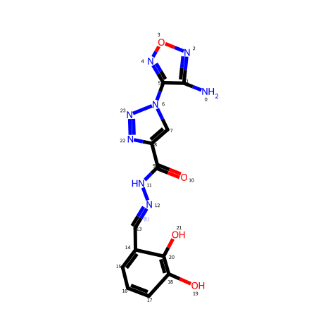 Nc1nonc1-n1cc(C(=O)N/N=C/c2cccc(O)c2O)nn1